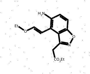 CCO/C=C/c1c(N)ccc2onc(CC(=O)OCC)c12